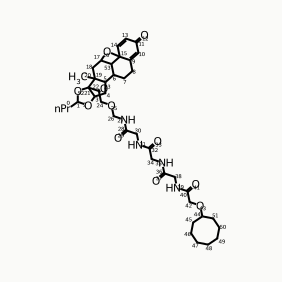 CCCC1OC2CC3C4CCC5=CC(=O)C=CC56OC(CC3(C)C2(C(=O)COCNC(=O)CNC(=O)CNC(=O)CNC(=O)COC2CCCCCCC2)O1)C46